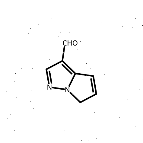 O=Cc1cnn2c1C=CC2